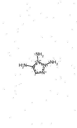 Nc1cnn(N)[n+]1N